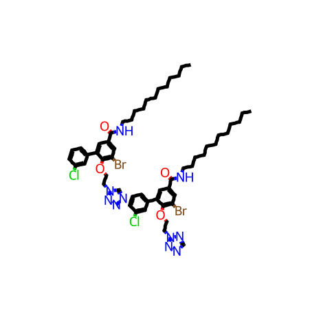 CCCCCCCCCCCCNC(=O)c1cc(Br)c(OCCn2cnnn2)c(-c2cccc(Cl)c2)c1.CCCCCCCCCCCCNC(=O)c1cc(Br)c(OCCn2ncnn2)c(-c2cccc(Cl)c2)c1